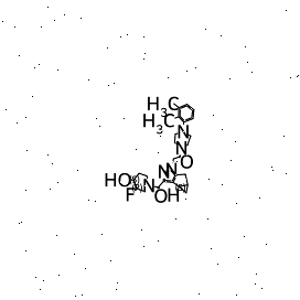 Cc1cccc(N2CCN(C(=O)Cn3nc(C(=O)N4CC[C@H](O)[C@H](F)C4)c4c3CC3C[C@H]43)CC2)c1C